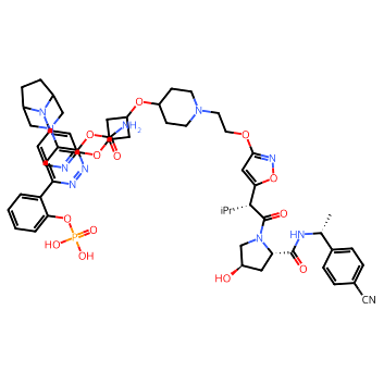 CC(C)[C@@H](C(=O)N1C[C@H](O)C[C@H]1C(=O)N[C@H](C)c1ccc(C#N)cc1)c1cc(OCCN2CCC(OC3CC(Oc4cc(N5C6CCC5CN(c5cc(-c7ccccc7OP(=O)(O)O)nnc5OC(N)=O)C6)ccn4)C3)CC2)no1